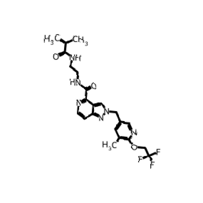 Cc1cc(Cn2cc3c(C(=O)NCCNC(=O)C(C)C)nccc3n2)cnc1OCC(F)(F)F